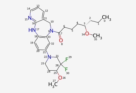 CCC[C@@H](CCCC(=O)N1Cc2cccnc2Nc2ccc(N3CCC(OC)C(F)(F)C3)cc21)OC